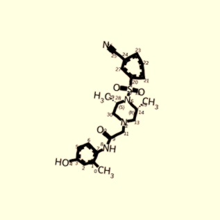 Cc1cc(O)ccc1NC(=O)CN1C[C@@H](C)N(S(=O)(=O)c2cccc(C#N)c2)[C@@H](C)C1